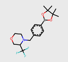 CC1(C)OB(c2ccc(CN3CCOCC3C(F)(F)F)cc2)OC1(C)C